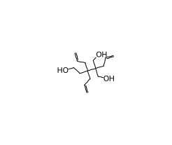 C=CCC(CO)(CO)C(CC=C)(CC=C)CCO